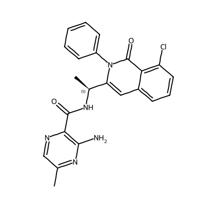 Cc1cnc(C(=O)N[C@@H](C)c2cc3cccc(Cl)c3c(=O)n2-c2ccccc2)c(N)n1